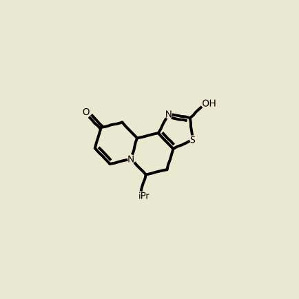 CC(C)C1Cc2sc(O)nc2C2CC(=O)C=CN21